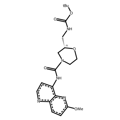 COc1ccc2nccc(NC(=O)N3CCO[C@@H](CNC(=O)OC(C)(C)C)C3)c2n1